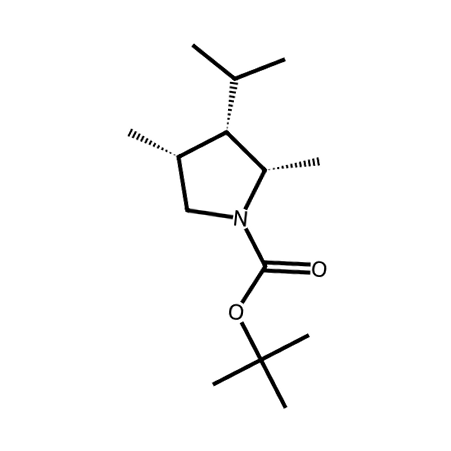 CC(C)[C@H]1[C@@H](C)CN(C(=O)OC(C)(C)C)[C@H]1C